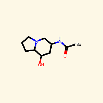 CCCCC(=O)NC1CC(O)C2CCCN2C1